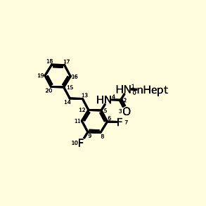 CCCCCCCNC(=O)Nc1c(F)cc(F)cc1CCc1ccccc1